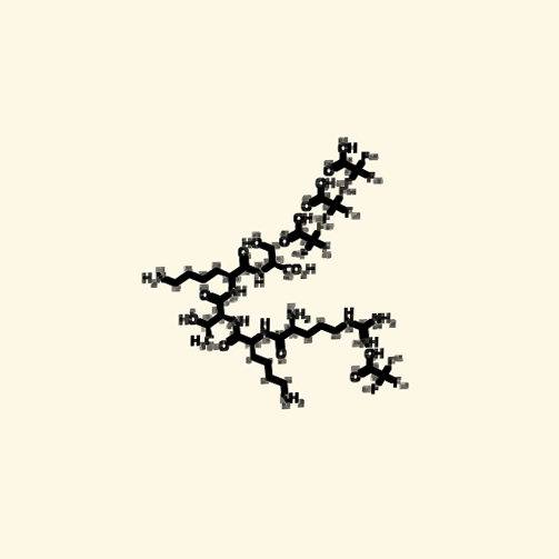 C[C@@H](O)[C@H](NC(=O)[C@H](CCCCN)NC(=O)[C@@H](N)CCCNC(=N)N)C(=O)N[C@@H](CCCCN)C(=O)N[C@@H](CO)C(=O)O.O=C(O)C(F)(F)F.O=C(O)C(F)(F)F.O=C(O)C(F)(F)F.O=C(O)C(F)(F)F